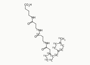 [13CH3]N1[13CH2][13CH2]N([13CH2][13CH]2[13CH2][13CH2][13CH2][15N]2CC(=O)[15NH]CC[13C](=O)[15NH]CCC(=O)NCCCC(=O)O)[13CH2][13CH2]1